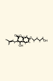 CC(C)=CCc1c(O)c2ccc(OCCCCO)cc2oc1=O